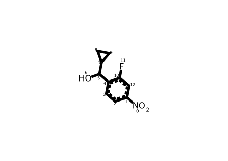 O=[N+]([O-])c1ccc(C(O)C2CC2)c(F)c1